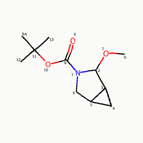 COC1C2CC2CN1C(=O)OC(C)(C)C